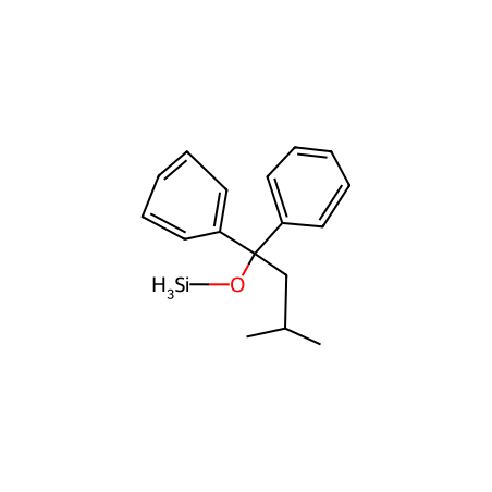 CC(C)CC(O[SiH3])(c1ccccc1)c1ccccc1